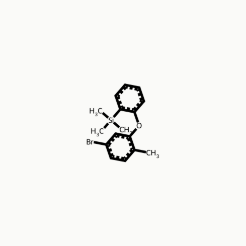 Cc1ccc(Br)cc1Oc1ccccc1[Si](C)(C)C